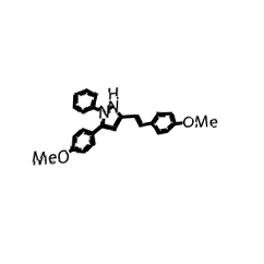 COc1ccc(C=CC2=CC(c3ccc(OC)cc3)N(c3ccccc3)N2)cc1